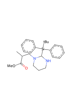 COC(=O)C(C)CN1CCCNC1[Si](c1ccccc1)(c1ccccc1)C(C)(C)C